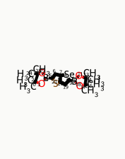 CC1(C)OB(c2cc3[se]c(B4OC(C)(C)C(C)(C)O4)cc3s2)OC1(C)C